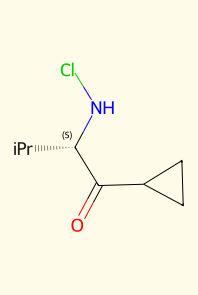 CC(C)[C@H](NCl)C(=O)C1CC1